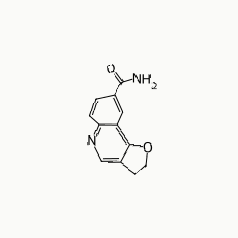 NC(=O)c1ccc2ncc3c(c2c1)OCC3